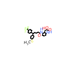 CSc1ccc(/C(=C\C=C\C(=O)Nc2cccc3c2CC(O)C(=O)N3)c2ccc(C(F)(F)F)cc2)cc1